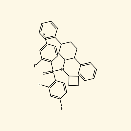 O=P(c1ccc(F)cc1F)(c1ccc(F)cc1F)N(C1CCC1)P1CC(c2ccccc2)CCC1c1ccccc1